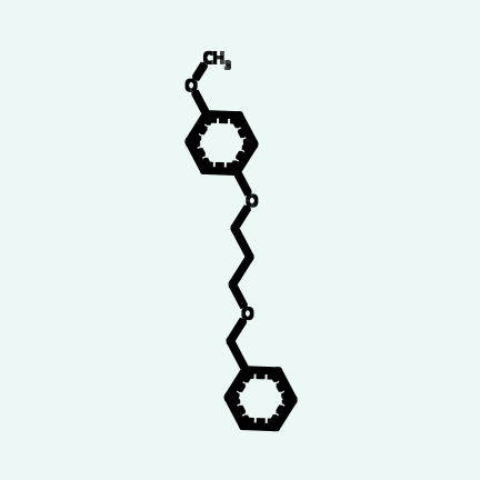 COc1ccc(OCCCOCc2ccccc2)cc1